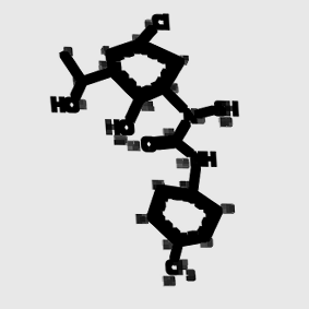 CC(O)c1cc(Cl)cc(N(S)C(=O)Nc2ccc(C(F)(F)F)cc2)c1O